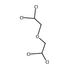 ClC(Cl)COCC(Cl)Cl